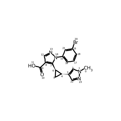 Cn1cc([C@@H]2C[C@H]2c2c(C(=O)O)cnn2-c2cccc(Br)c2)cn1